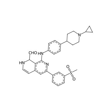 CS(=O)(=O)c1cccc(-c2cc3c(c(Nc4ccc(C5CCN(C6CC6)CC5)cc4)n2)C(C=O)NC=C3)c1